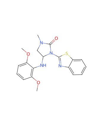 COc1cccc(OC)c1NC1CN(C)C(=O)N1c1nc2ccccc2s1